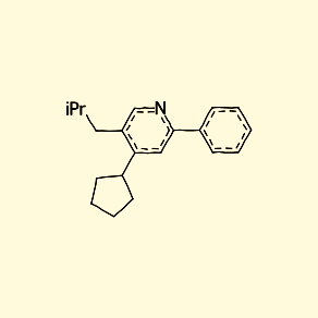 CC(C)Cc1cnc(-c2ccccc2)cc1C1CCCC1